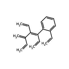 C=CC(=C)/C(C=C)=C(\C=C)c1ccccc1C=C